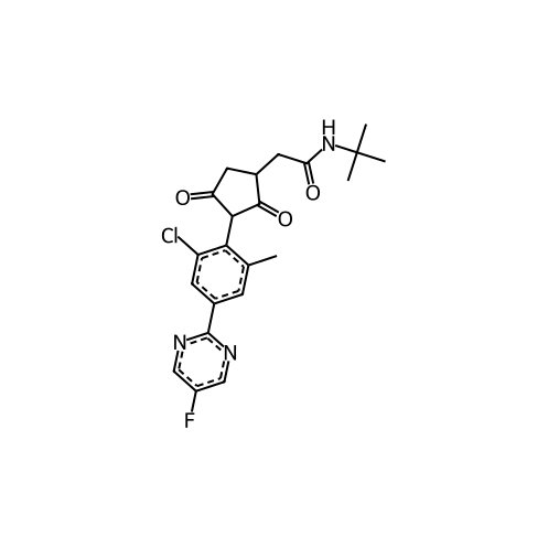 Cc1cc(-c2ncc(F)cn2)cc(Cl)c1C1C(=O)CC(CC(=O)NC(C)(C)C)C1=O